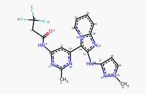 Cc1nc(NC(=O)CC(F)(F)F)cc(-c2c(Nc3ccn(C)n3)nc3ccccn23)n1